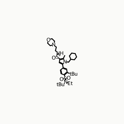 CCN(C(C)(C)C)S(=O)(=O)c1ccc(-c2cc([S+]([O-])NCCN3CCOCC3)c(C)n2CC2CCCCC2)cc1C(C)(C)C